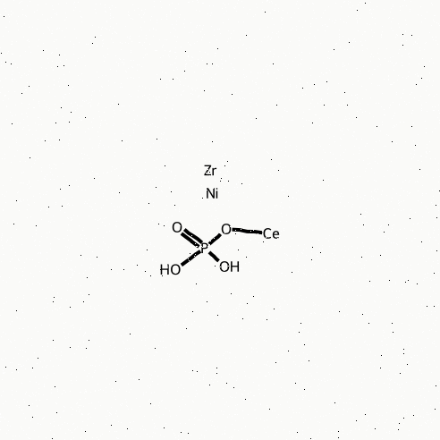 O=P(O)(O)[O][Ce].[Ni].[Zr]